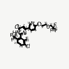 O=c1cc(-c2ccc(OCCOCC(F)(F)F)nc2)nc(-c2c(C(F)(F)F)ccc(Cl)c2F)[nH]1